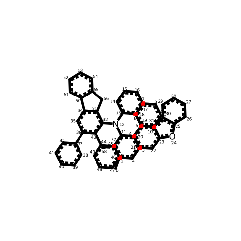 Cc1ccc(-c2ccccc2)c(N(c2ccccc2-c2cccc3oc4ccccc4c23)c2c3c(cc(-c4ccccc4)c2-c2ccccc2)-c2ccccc2C3)c1C